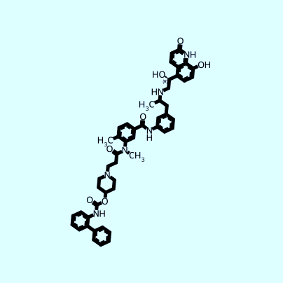 Cc1ccc(C(=O)Nc2cccc(CC(C)NC[C@H](O)c3ccc(O)c4[nH]c(=O)ccc34)c2)cc1N(C)C(=O)CCN1CCC(OC(=O)Nc2ccccc2-c2ccccc2)CC1